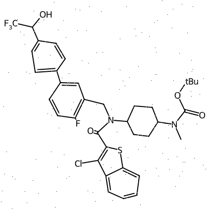 CN(C(=O)OC(C)(C)C)C1CCC(N(Cc2cc(-c3ccc(C(O)C(F)(F)F)cc3)ccc2F)C(=O)c2sc3ccccc3c2Cl)CC1